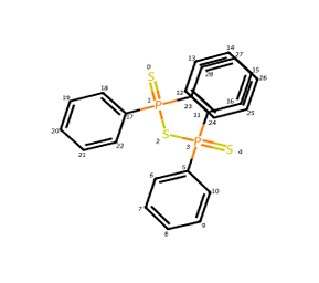 S=P(SP(=S)(c1ccccc1)c1ccccc1)(c1ccccc1)c1ccccc1